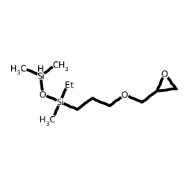 CC[Si](C)(CCCOCC1CO1)O[SiH](C)C